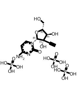 C#C[C@]1(O)[C@H](O)[C@@H](CO)O[C@H]1n1ccc(N)nc1=O.O=P(O)(O)O.O=P(O)(O)O.O=P(O)(O)O